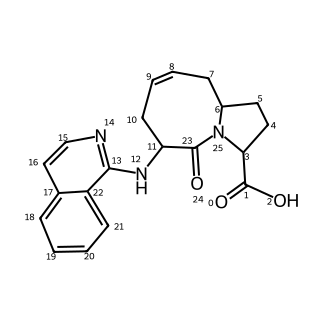 O=C(O)C1CCC2CC=CCC(Nc3nccc4ccccc34)C(=O)N21